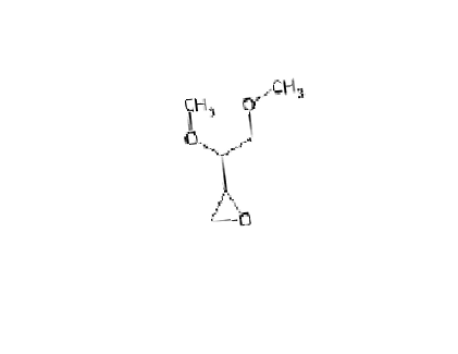 COCC(OC)C1CO1